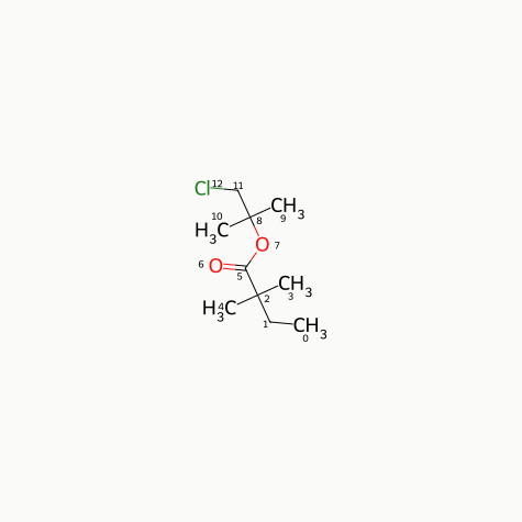 CCC(C)(C)C(=O)OC(C)(C)CCl